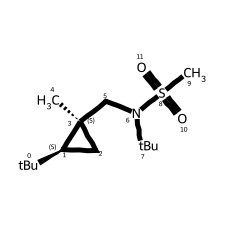 CC(C)(C)[C@@H]1C[C@]1(C)CN(C(C)(C)C)S(C)(=O)=O